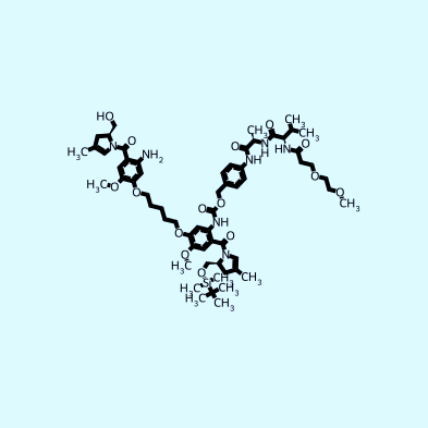 COCCOCCC(=O)N[C@H](C(=O)N[C@@H](C)C(=O)Nc1ccc(COC(=O)Nc2cc(OCCCCCOc3cc(N)c(C(=O)N4C=C(C)C[C@H]4CO)cc3OC)c(OC)cc2C(=O)N2C=C(C)C[C@H]2CO[Si](C)(C)C(C)(C)C)cc1)C(C)C